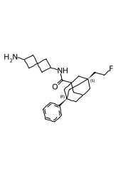 NC1CC2(C1)CC(NC(=O)C13CC4C[C@@](CCF)(C1)C[C@](c1ccccc1)(C4)C3)C2